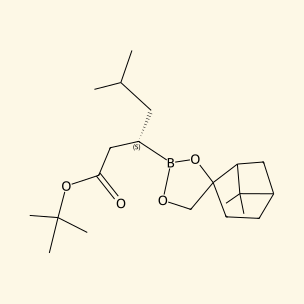 CC(C)C[C@@H](CC(=O)OC(C)(C)C)B1OCC2(CCC3CC2C3(C)C)O1